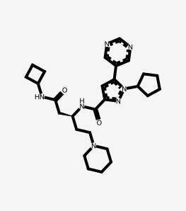 O=C(C[C@H](CCN1CCCCC1)NC(=O)c1cc(-c2cncnc2)n(C2CCCC2)n1)NC1CCC1